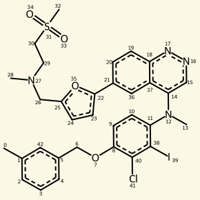 Cc1cccc(COc2ccc(N(C)c3cnnc4ccc(-c5ccc(CN(C)CCS(C)(=O)=O)o5)cc34)c(I)c2Cl)c1